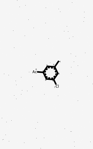 CC(=O)c1cc(C)cc(Cl)c1